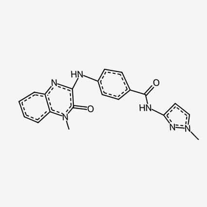 Cn1ccc(NC(=O)c2ccc(Nc3nc4ccccc4n(C)c3=O)cc2)n1